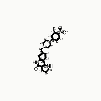 O=c1[nH]c2cc(CN3CCN(c4ccc([N+](=O)[O-])c(F)c4)CC3)ccc2c2c1CCCN2